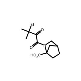 CCC(C)(C)C(=O)C(=O)N1CC2CCC1(C(=O)O)C2